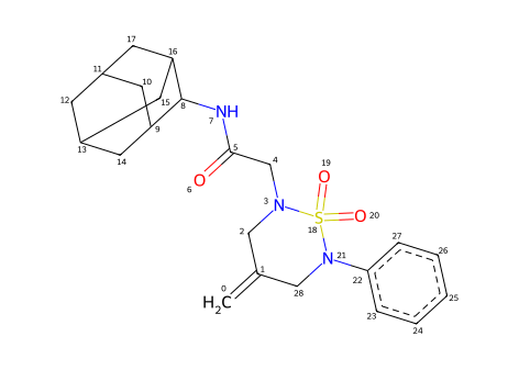 C=C1CN(CC(=O)NC2C3CC4CC(C3)CC2C4)S(=O)(=O)N(c2ccccc2)C1